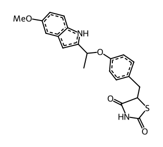 COc1ccc2[nH]c(C(C)Oc3ccc(CC4SC(=O)NC4=O)cc3)cc2c1